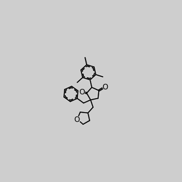 Cc1cc(C)c(C2C(=O)CC(Cc3ccccc3)(CC3CCOC3)C2=O)c(C)c1